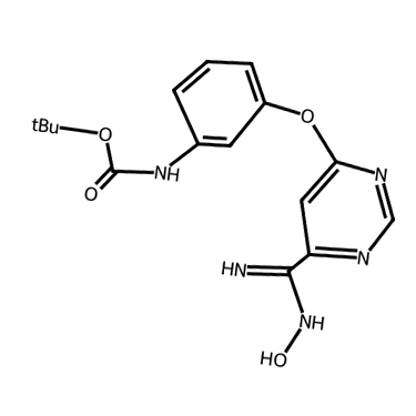 CC(C)(C)OC(=O)Nc1cccc(Oc2cc(C(=N)NO)ncn2)c1